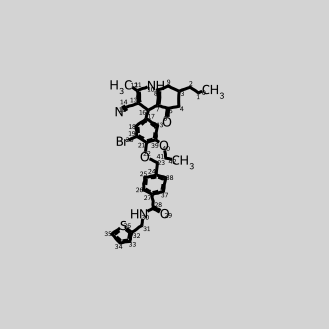 CCCC1CC(=O)C2=C(C1)NC(C)=C(C#N)C2c1cc(Br)c(OCc2ccc(C(=O)NCc3cccs3)cc2)c(OCC)c1